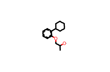 CC([O])COc1ccccc1C1CCCCC1